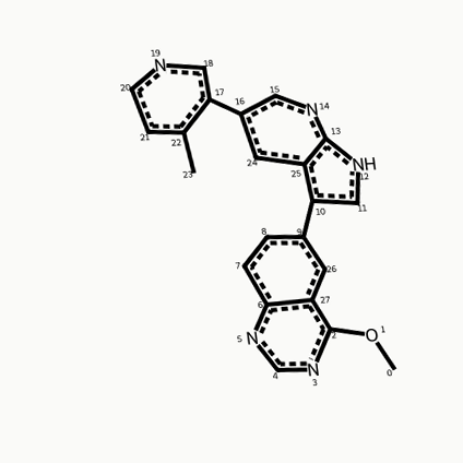 COc1ncnc2ccc(-c3c[nH]c4ncc(-c5cnccc5C)cc34)cc12